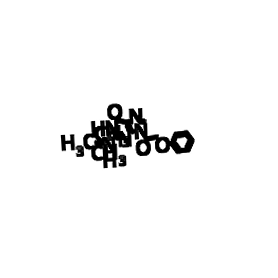 CC(C)(C)Nc1nc2c(ncn2C(=O)COc2ccccc2)c(=O)[nH]1